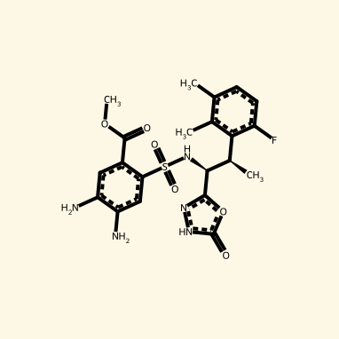 COC(=O)c1cc(N)c(N)cc1S(=O)(=O)N[C@H](c1n[nH]c(=O)o1)[C@H](C)c1c(F)ccc(C)c1C